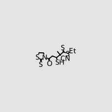 CCSC(=S)C(C)(C#N)C(S)CC(=O)N1CCSC1=S